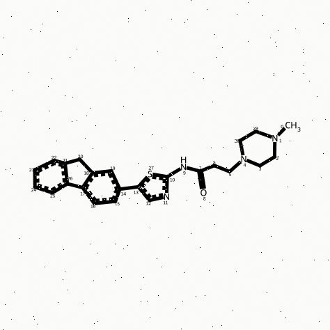 CN1CCN(CCC(=O)Nc2ncc(-c3ccc4c(c3)Cc3ccccc3-4)s2)CC1